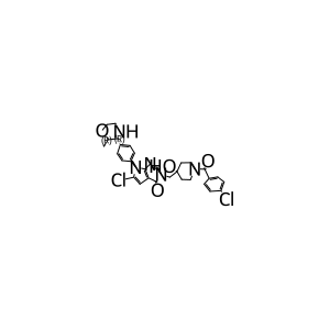 C[C@H]1OCCN[C@@H]1c1ccc(-n2c(Cl)cc3c(=O)n(CC4(O)CCN(C(=O)c5ccc(Cl)cc5)CC4)cnc32)cc1